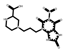 O=C(O)C1CN(CCCn2c(=O)n(P(=O)=O)c(=O)c3[nH]c(=O)[nH]c32)CCN1